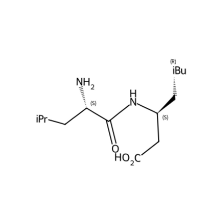 CC[C@@H](C)C[C@@H](CC(=O)O)NC(=O)[C@@H](N)CC(C)C